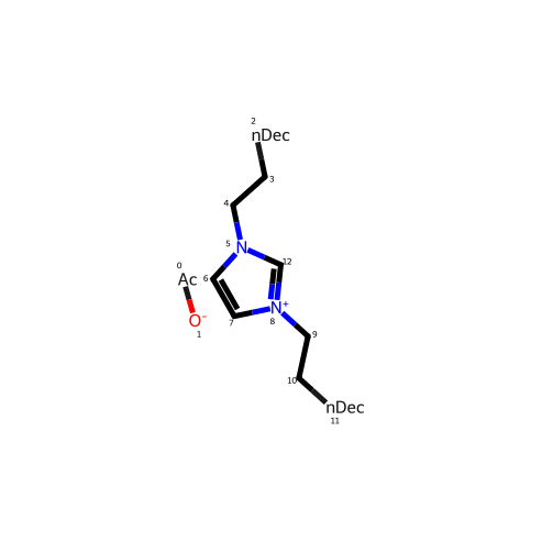 CC(=O)[O-].CCCCCCCCCCCCn1cc[n+](CCCCCCCCCCCC)c1